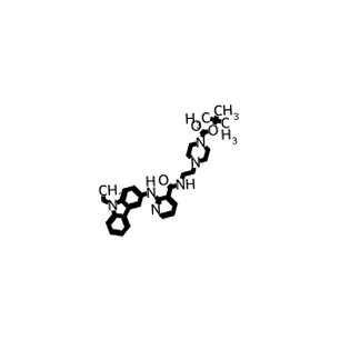 CCn1c2ccccc2c2cc(Nc3ncccc3C(=O)NCCN3CCN(C(=O)OC(C)(C)C)CC3)ccc21